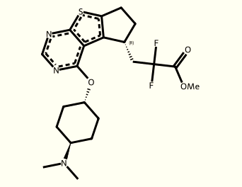 COC(=O)C(F)(F)C[C@H]1CCc2sc3ncnc(O[C@H]4CC[C@H](N(C)C)CC4)c3c21